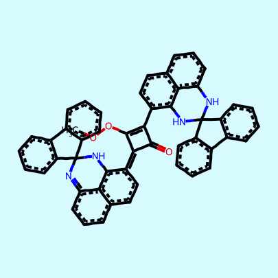 COOC1=C(c2ccc3cccc4c3c2NC2(N4)c3ccccc3-c3ccccc32)C(=O)/C1=c1\ccc2cccc3c2c1NC1(N=3)c2ccccc2-c2ccccc21